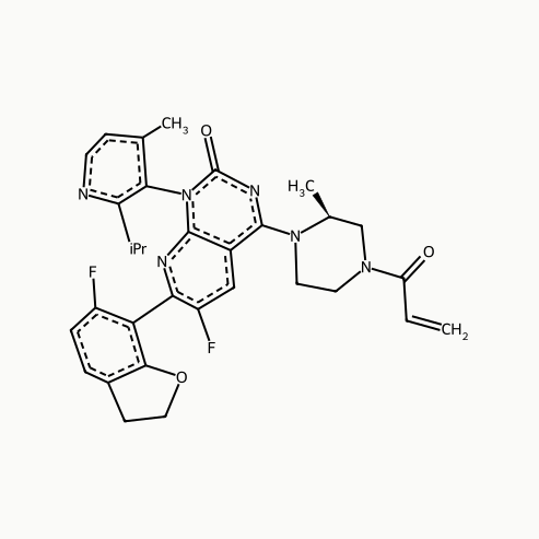 C=CC(=O)N1CCN(c2nc(=O)n(-c3c(C)ccnc3C(C)C)c3nc(-c4c(F)ccc5c4OCC5)c(F)cc23)[C@@H](C)C1